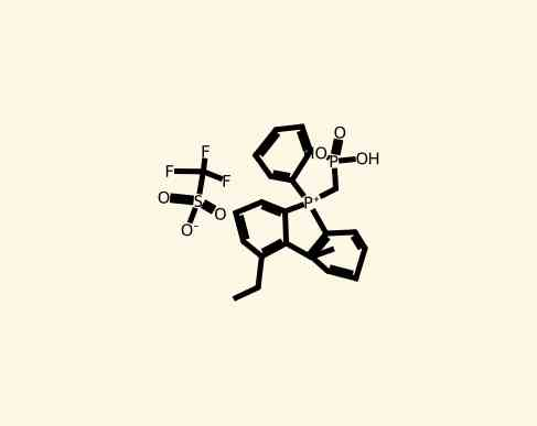 CCc1cccc([P+](CP(=O)(O)O)(c2ccccc2)c2ccccc2)c1CC.O=S(=O)([O-])C(F)(F)F